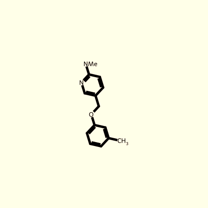 CNc1ccc(COc2cccc(C)c2)cn1